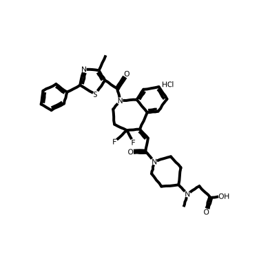 Cc1nc(-c2ccccc2)sc1C(=O)N1CCC(F)(F)/C(=C\C(=O)N2CCC(N(C)CC(=O)O)CC2)c2ccccc21.Cl